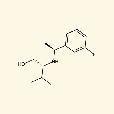 CC(C)[C@H](CO)N[C@@H](C)c1cccc(F)c1